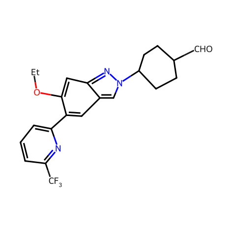 CCOc1cc2nn(C3CCC(C=O)CC3)cc2cc1-c1cccc(C(F)(F)F)n1